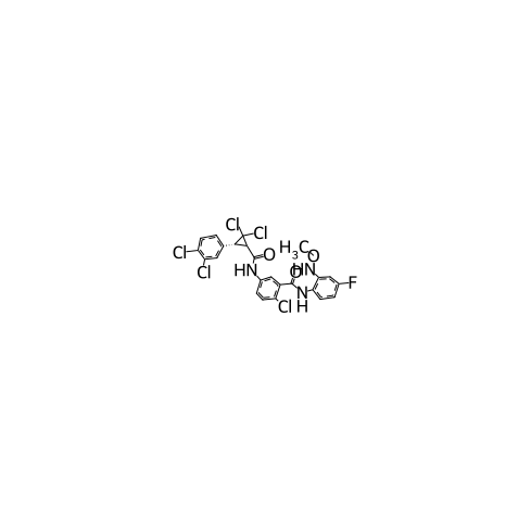 CONc1cc(F)ccc1NC(=O)c1cc(NC(=O)C2[C@H](c3ccc(Cl)c(Cl)c3)C2(Cl)Cl)ccc1Cl